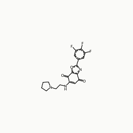 O=C1C=C(NCCN2CCCC2)C(=O)c2oc(-c3cc(F)c(F)c(F)c3)nc21